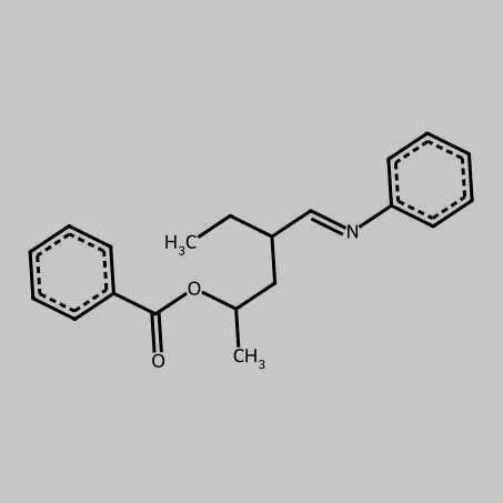 CCC(C=Nc1ccccc1)CC(C)OC(=O)c1ccccc1